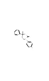 CC1(c2ccccc2)CCN(c2ccc(Cl)cc2)C(=O)O1